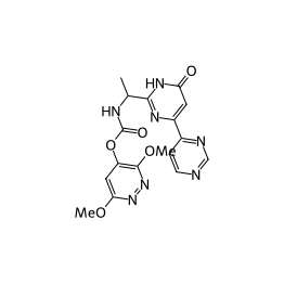 COc1cc(OC(=O)NC(C)c2nc(-c3ccncn3)cc(=O)[nH]2)c(OC)nn1